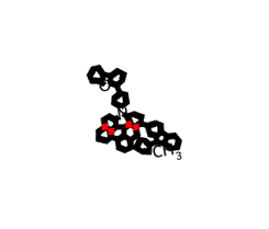 CC1(c2ccccc2)c2ccccc2-c2ccc(-c3ccc(N(c4ccc(-c5cccc6c5oc5ccccc56)cc4)c4ccccc4-c4cccc5cccc(-c6ccccc6)c45)cc3)cc21